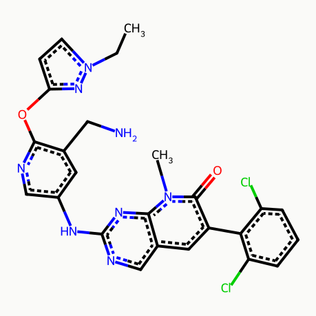 CCn1ccc(Oc2ncc(Nc3ncc4cc(-c5c(Cl)cccc5Cl)c(=O)n(C)c4n3)cc2CN)n1